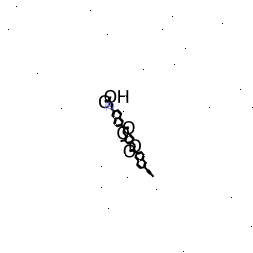 CC#Cc1ccc2cc(C(=O)Oc3ccc(OC(=O)c4ccc5cc(/C=C/C(=O)O)ccc5c4)c(C)c3)ccc2c1